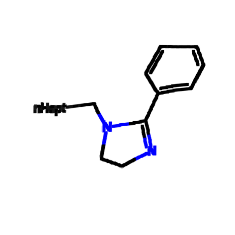 CCCCCCCCN1CCN=C1c1ccccc1